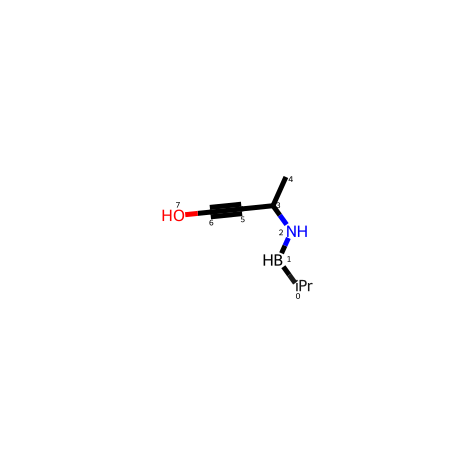 CC(C)BNC(C)C#CO